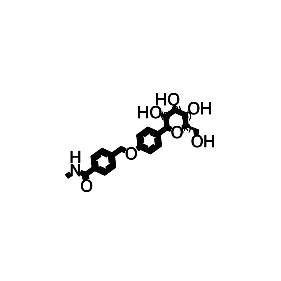 CNC(=O)c1ccc(COc2ccc(C3O[C@H](CO)[C@@H](O)[C@H](O)[C@@H]3O)cc2)cc1